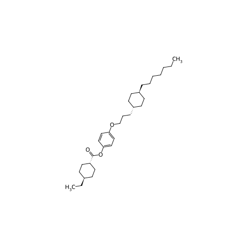 CCCCCCC[C@H]1CC[C@H](CCCOc2ccc(OC(=O)[C@H]3CC[C@H](CC)CC3)cc2)CC1